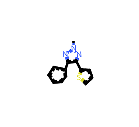 Cn1nc(-c2ccccc2)c(-c2cccs2)n1